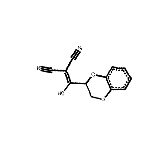 N#CC(C#N)=C(O)C1COc2ccccc2O1